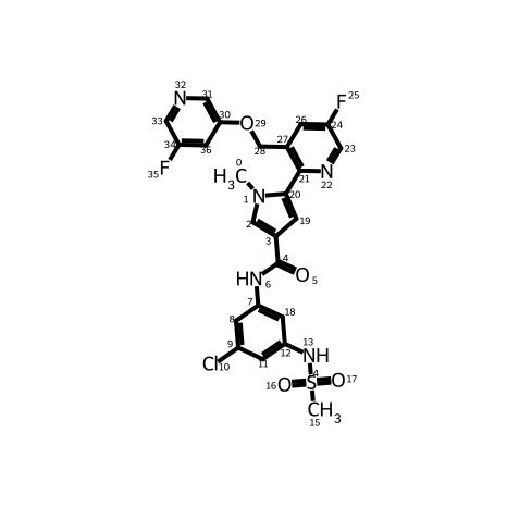 Cn1cc(C(=O)Nc2cc(Cl)cc(NS(C)(=O)=O)c2)cc1-c1ncc(F)cc1COc1cncc(F)c1